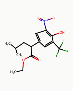 CCOC(=O)C(CC(C)C)c1cc([N+](=O)[O-])c(O)c(C(F)(F)F)c1